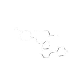 CN1CCCN(CCC2=CCc3c2cccc3-c2ccncc2)CC1.O=C(O)C=CC(=O)O